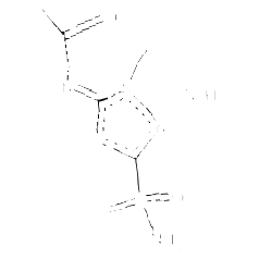 CC(=O)N=c1sc(S(N)(=O)=O)nn1C.[NaH]